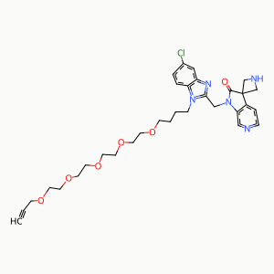 C#CCOCCOCCOCCOCCOCCCCn1c(CN2C(=O)C3(CNC3)c3ccncc32)nc2cc(Cl)ccc21